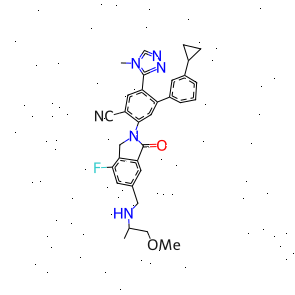 COCC(C)NCc1cc(F)c2c(c1)C(=O)N(c1cc(-c3cccc(C4CC4)c3)c(-c3nncn3C)cc1C#N)C2